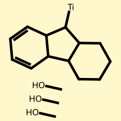 CO.CO.CO.[Ti][CH]1C2C=CC=CC2C2CCCCC12